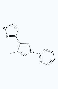 Cc1cn(-c2ccccc2)cc1C1=N[N]C=C1